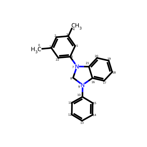 Cc1cc(C)cc(N2CN(c3ccccc3)c3ccccc32)c1